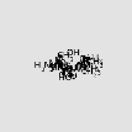 CO/N=C(\C(=O)N[C@H]1C(=O)N2C(C(=O)O)=C(C[n+]3ccc(C4=NC(C)(C)CO4)c([Si](C)(C)C)c3)CS[C@@H]12)c1csc(N)n1.[OH-]